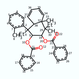 CCC1(c2ccccc2C)C(OC(=O)c2ccccc2)C(OC(=O)c2ccccc2)C(C)(CC)C2(C)C=CC=CC12